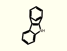 c1cc2cc(c1)-c1c-2[nH]c2ccccc12